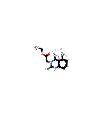 CCOC(=O)CN1C(Cl)=Nc2cccc(C)c2C1C.Cl